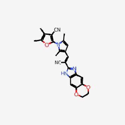 Cc1oc(-n2c(C)cc(/C=C(\C#N)c3nc4cc5c(cc4[nH]3)OCCO5)c2C)c(C#N)c1C